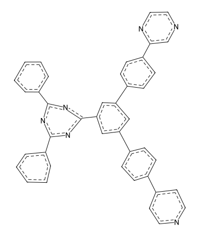 c1ccc(-c2nc(-c3ccccc3)nc(-c3cc(-c4ccc(-c5ccncc5)cc4)cc(-c4ccc(-c5cnccn5)cc4)c3)n2)cc1